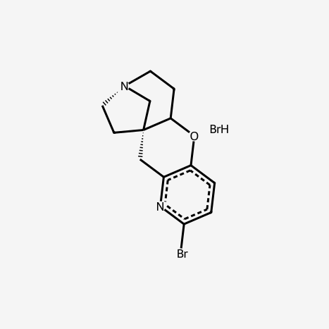 Br.Brc1ccc2c(n1)C[C@@]13CC[N@](CCC1O2)C3